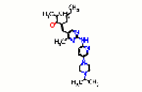 CCCC/C(=C\c1cnc(Nc2ccc(N3CCN(C(C)C)CC3)cn2)nc1C)C(=O)C(C)C